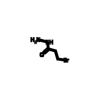 NNC(=O)CCBr